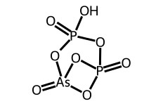 O=P1(O)OP2(=O)O[As](=O)(O1)O2